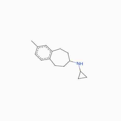 Cc1ccc2c(c1)CCC(NC1CC1)CC2